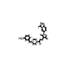 Cc1nn(-c2ccc3nnc(C)n3n2)c(C)c1CCC(=O)N1CCN(Cc2cccc(O)c2)CC1